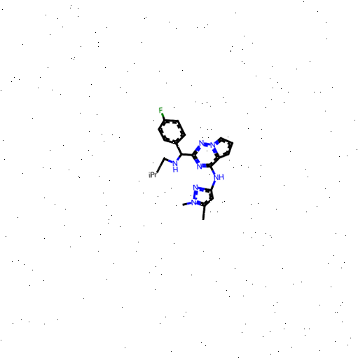 Cc1cc(Nc2nc(C(NCC(C)C)c3ccc(F)cc3)nn3cccc23)nn1C